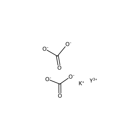 O=C([O-])[O-].O=C([O-])[O-].[K+].[Y+3]